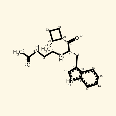 CC(=O)NCCN[C@@H](Cc1c[nH]c2ccccc12)C(=O)[C@H]1CC[C@H]1C